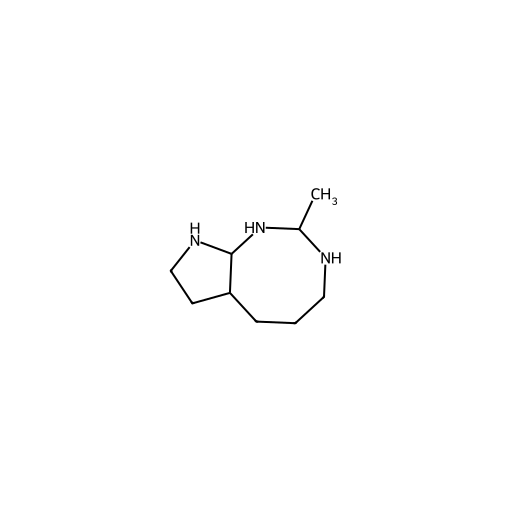 CC1NCCCC2CCNC2N1